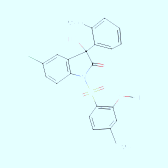 COc1ccc(S(=O)(=O)N2C(=O)C(O)(c3ccccc3OC)c3cc(Cl)ccc32)c(OC(F)(F)F)c1